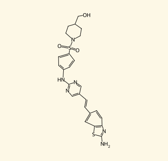 Nc1nc2ccc(/C=C/c3cnc(Nc4ccc(S(=O)(=O)N5CCC(CO)CC5)cc4)nc3)cc2s1